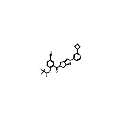 C[C@H](Oc1ccc(C#N)cc1C(=O)N1Cc2cn(-c3ccnc(C4CCC4)c3)nc2C1)C(F)(F)F